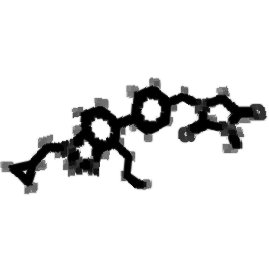 CCCc1c(-c2ccc(CN3CC(=O)N(C)C3=O)cc2)ccc2c1nnn2CC1CC1